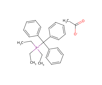 CC(=O)[O-].CC[P+](CC)(CC)C(c1ccccc1)(c1ccccc1)c1ccccc1